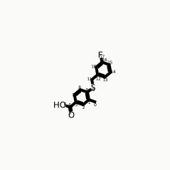 Cc1cc(C(=O)O)ccc1SCc1cccc(F)c1